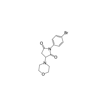 O=C1CC(N2CCOCC2)C(=O)N1c1ccc(Br)cc1